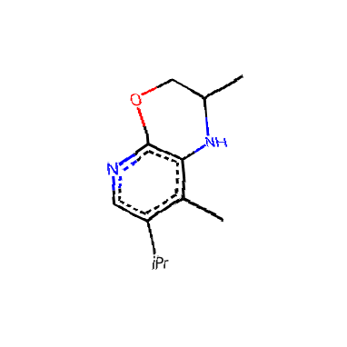 Cc1c(C(C)C)cnc2c1NC(C)CO2